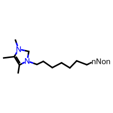 CCCCCCCCCCCCCCCCN1CN(C)C(C)=C1C